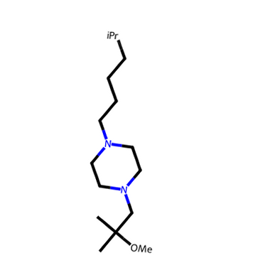 COC(C)(C)CN1CCN(CCCCC(C)C)CC1